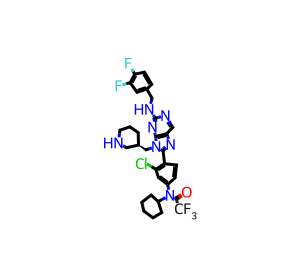 O=C(N(c1ccc(-c2nc3cnc(NCc4ccc(F)c(F)c4)nc3n2C[C@@H]2CCCNC2)c(Cl)c1)C1CCCCC1)C(F)(F)F